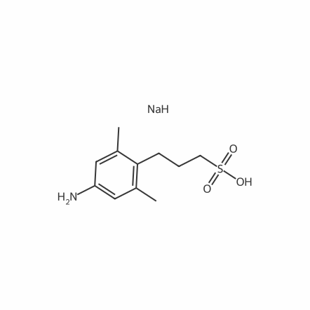 Cc1cc(N)cc(C)c1CCCS(=O)(=O)O.[NaH]